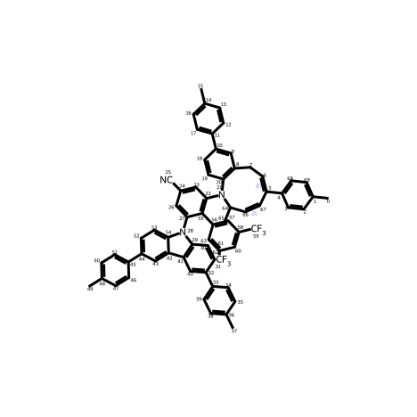 Cc1ccc(C2=C/Cc3cc(-c4ccc(C)cc4)ccc3N(c3cc(C#N)cc(-n4c5ccc(-c6ccc(C)cc6)cc5c5cc(-c6ccc(C)cc6)ccc54)c3-c3cc(C(F)(F)F)cc(C(F)(F)F)c3)C(C)/C=C\2)cc1